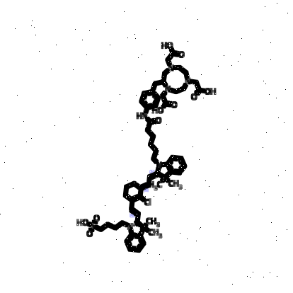 CC1(C)C(/C=C/C2=C(Cl)C(=C/C=C3/N(CCCCCC(=O)Nc4ccc(CC5CN(CC(=O)O)CCN(CC(=O)O)CCN5CC(=O)O)cc4)c4ccccc4C3(C)C)/CCC2)=[N+](CCCCS(=O)(=O)O)c2ccccc21